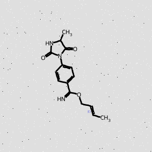 C/C=C/COC(=N)c1ccc(N2C(=O)NC(C)C2=O)cc1